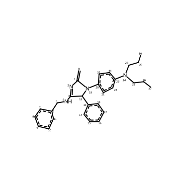 C=C1N=C(NCc2ccccc2)C(c2ccccc2)N1c1ccc(N(CCC)CCC)cc1